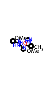 COc1cc(C(=O)N2CCCC2c2nnc(-c3ccccc3OC)[nH]2)c(-n2nccn2)cc1C